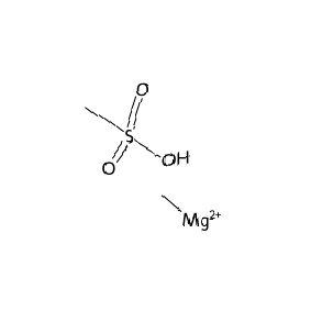 CS(=O)(=O)O.[CH3][Mg+2]